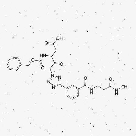 CNC(=O)CCNC(=O)c1cccc(-c2nnn(CC(=O)C(CC(=O)O)NC(=O)OCc3ccccc3)n2)c1